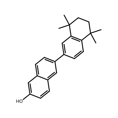 CC1(C)CCC(C)(C)c2cc(-c3ccc4cc(O)ccc4c3)ccc21